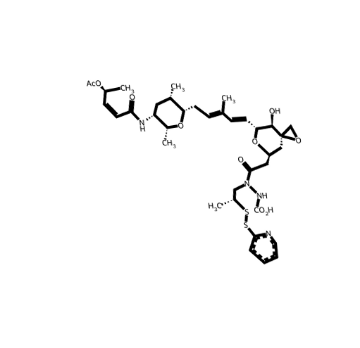 CC(=O)O[C@@H](C)/C=C\C(=O)N[C@@H]1C[C@H](C)[C@H](C/C=C(C)/C=C/[C@H]2O[C@H](CC(=O)N(C[C@@H](C)SSc3ccccn3)NC(=O)O)C[C@@]3(CO3)[C@@H]2O)O[C@@H]1C